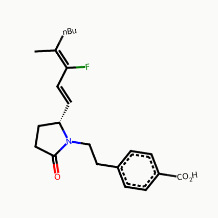 CCCCC(C)=C(F)C=C[C@H]1CCC(=O)N1CCc1ccc(C(=O)O)cc1